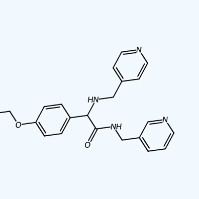 CCOc1ccc(C(NCc2ccncc2)C(=O)NCc2cccnc2)cc1